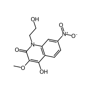 COc1c(O)c2ccc([N+](=O)[O-])cc2n(CCO)c1=O